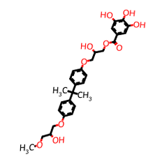 COCC(O)COc1ccc(C(C)(C)c2ccc(OCC(O)COC(=O)c3cc(O)c(O)c(O)c3)cc2)cc1